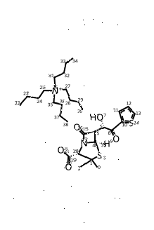 CC1(C)S[C@@H]2[C@H]([C@H](O)C(=O)c3cccs3)C(=O)N2[C@H]1C(=O)[O-].CCCC[N+](CCCC)(CCCC)CCCC